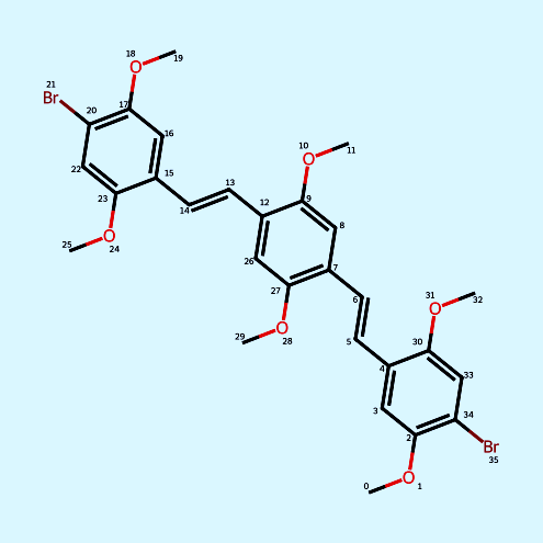 COc1cc(C=Cc2cc(OC)c(C=Cc3cc(OC)c(Br)cc3OC)cc2OC)c(OC)cc1Br